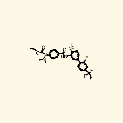 CCOC(=O)N(c1ccc(C(=O)Nc2cc(-c3ccc(C(F)(F)F)cc3F)ccc2N)cc1)N(C)C